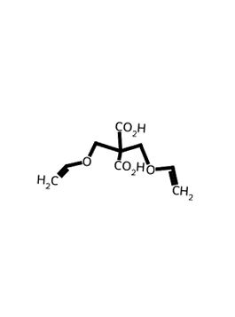 C=COCC(COC=C)(C(=O)O)C(=O)O